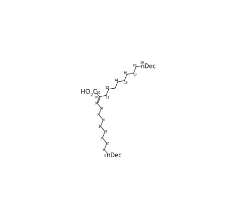 CCCCCCCCCCCCCCCCCCC=C(CCCCCCCCCCCCCCCCCC)C(=O)O